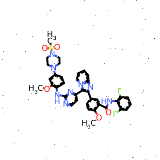 COc1cc(N2CCN(S(C)(=O)=O)CC2)ccc1Nc1nccc(-c2c(-c3ccc(OC)c(C(=O)Nc4c(F)cccc4F)c3)nc3ccccn23)n1